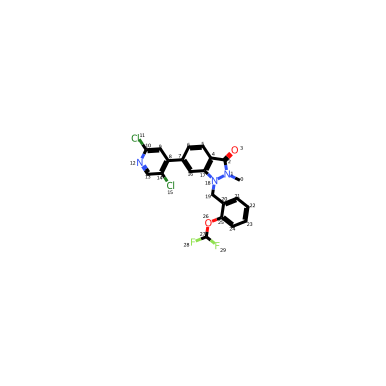 Cn1c(=O)c2ccc(-c3cc(Cl)ncc3Cl)cc2n1Cc1ccccc1OC(F)F